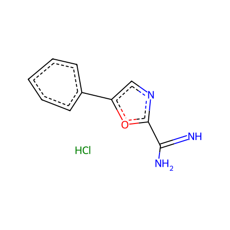 Cl.N=C(N)c1ncc(-c2ccccc2)o1